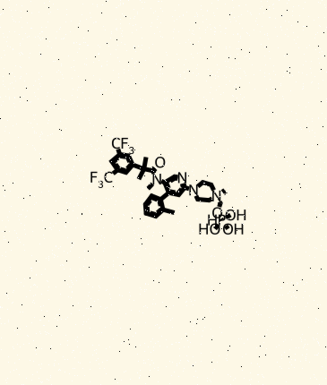 Cc1ccccc1-c1cc(N2CC[N+](C)(CO[PH](O)(O)O)CC2)ncc1N(C)C(=O)C(C)(C)c1cc(C(F)(F)F)cc(C(F)(F)F)c1